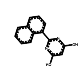 Oc1cc(O)nc(-c2cccc3ccccc23)n1